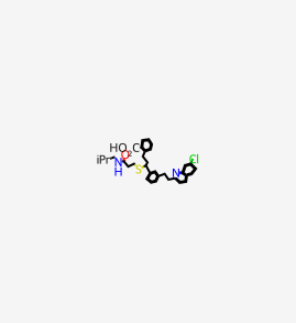 CC(C)CNC(=O)CCSC(CCc1ccccc1C(=O)O)c1cccc(CCc2ccc3ccc(Cl)cc3n2)c1